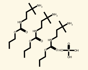 CCCOC(=O)NCCC(C)(C)N.CCCOC(=O)NCCC(C)(C)N.CCCOC(=O)NCCC(C)(C)N.O=P(O)(O)O